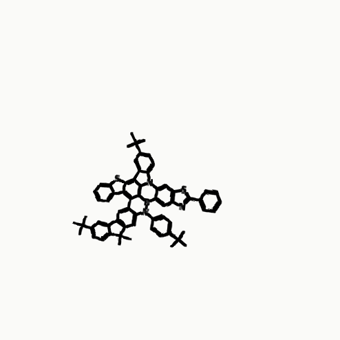 CC(C)(C)c1ccc(N2B3c4cc5nc(-c6ccccc6)sc5cc4-n4c5ccc(C(C)(C)C)cc5c5c6sc7ccccc7c6c(c3c54)-c3cc4c(cc32)C(C)(C)c2ccc(C(C)(C)C)cc2-4)cc1